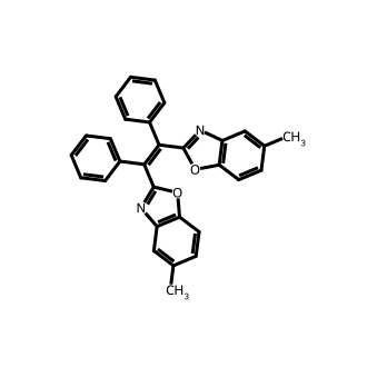 Cc1ccc2oc(C(=C(c3ccccc3)c3nc4cc(C)ccc4o3)c3ccccc3)nc2c1